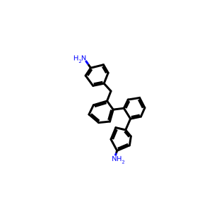 Nc1ccc(Cc2ccccc2-c2ccccc2-c2ccc(N)cc2)cc1